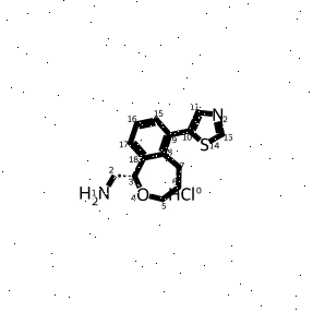 Cl.NC[C@H]1OCCCc2c(-c3cncs3)cccc21